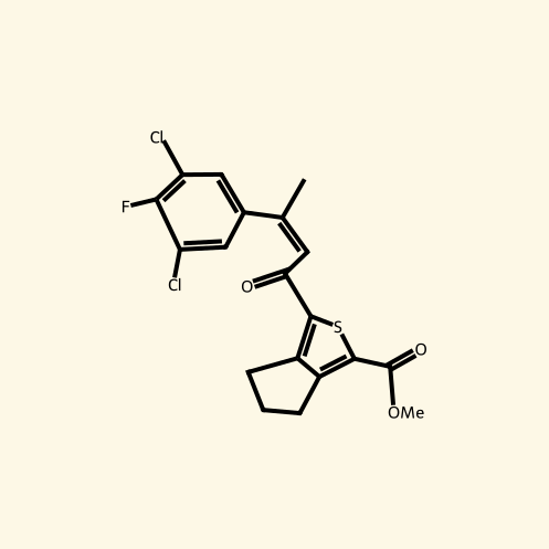 COC(=O)c1sc(C(=O)/C=C(/C)c2cc(Cl)c(F)c(Cl)c2)c2c1CCC2